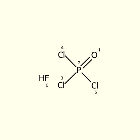 F.O=P(Cl)(Cl)Cl